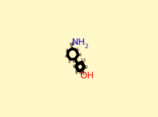 NC[C@H]1CCCC(c2ccc(O)cc2)CC1